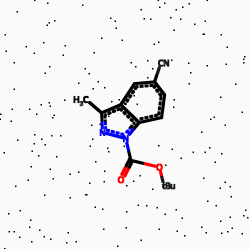 Cc1nn(C(=O)OC(C)(C)C)c2ccc(C#N)cc12